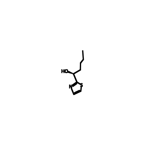 CCCC[C@H](O)c1nccs1